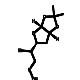 CCC(CSO)[C@@H]1C[C@H]2OC(C)(C)O[C@H]2O1